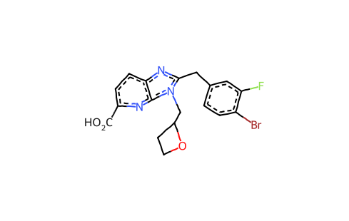 O=C(O)c1ccc2nc(Cc3ccc(Br)c(F)c3)n(CC3CCO3)c2n1